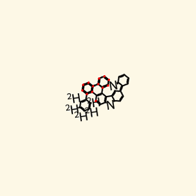 [2H]c1c([2H])c([2H])c(-c2cccc(-c3ccccc3)c2-c2ccc3c(c2-c2ccccc2-c2ccccc2)-c2c4c(ccc2=N3)=c2ccccc2=N4)c([2H])c1[2H]